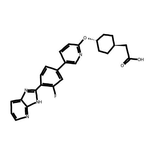 O=C(O)C[C@H]1CC[C@H](Oc2ccc(-c3ccc(-c4nc5cccnc5[nH]4)c(F)c3)cn2)CC1